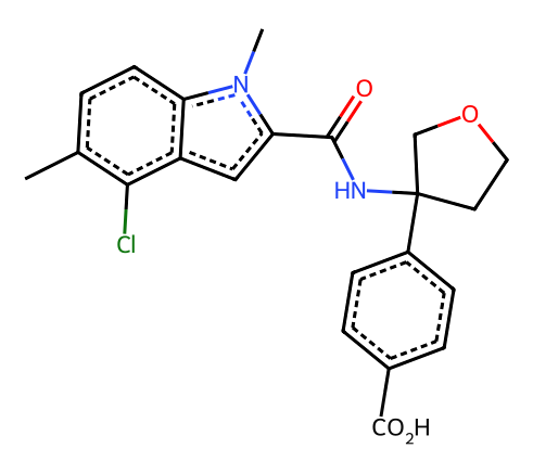 Cc1ccc2c(cc(C(=O)NC3(c4ccc(C(=O)O)cc4)CCOC3)n2C)c1Cl